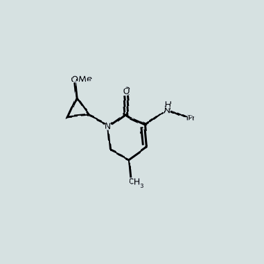 COC1CC1N1CC(C)C=C(NC(C)C)C1=O